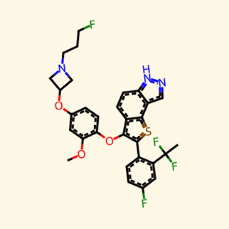 COc1cc(OC2CN(CCCF)C2)ccc1Oc1c(-c2ccc(F)cc2C(C)(F)F)sc2c1ccc1[nH]ncc12